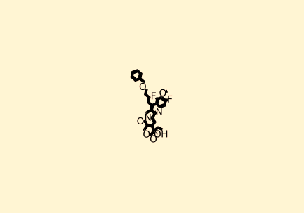 CC[C@@]1(O)C(=O)OCc2c1cc1n(c2=O)Cc2c-1nc1cc(F)c(OC)c(F)c1c2CCCCOCc1ccccc1